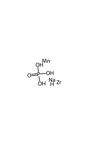 O=P(O)(O)O.[Mn].[NaH].[Zr]